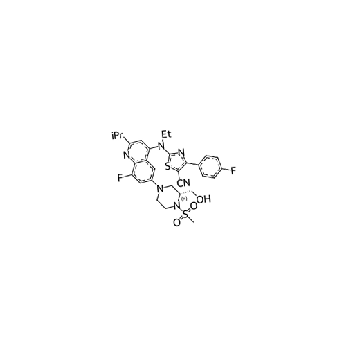 CCN(c1nc(-c2ccc(F)cc2)c(C#N)s1)c1cc(C(C)C)nc2c(F)cc(N3CCN(S(C)(=O)=O)[C@@H](CO)C3)cc12